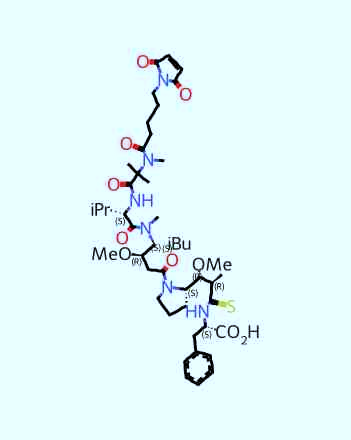 CC[C@H](C)[C@@H]([C@@H](CC(=O)N1CCC[C@H]1[C@H](OC)[C@@H](C)C(=S)N[C@@H](Cc1ccccc1)C(=O)O)OC)N(C)C(=O)[C@@H](NC(=O)C(C)(C)N(C)C(=O)CCCCN1C(=O)C=CC1=O)C(C)C